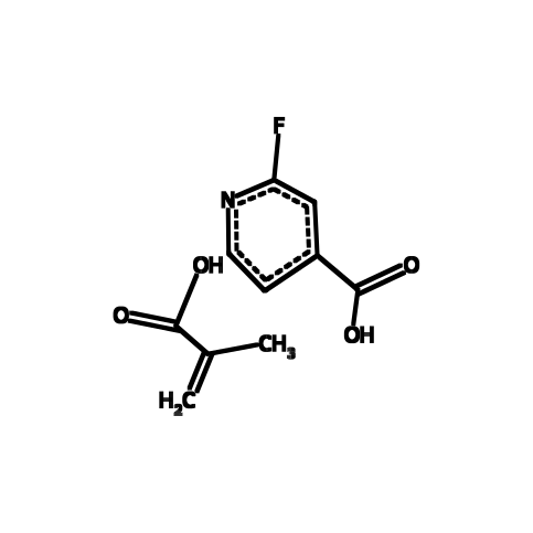 C=C(C)C(=O)O.O=C(O)c1ccnc(F)c1